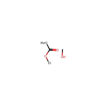 CCOC(=O)OC.CO